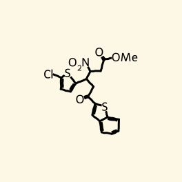 COC(=O)CC(C(CC(=O)c1cc2ccccc2s1)c1ccc(Cl)s1)[N+](=O)[O-]